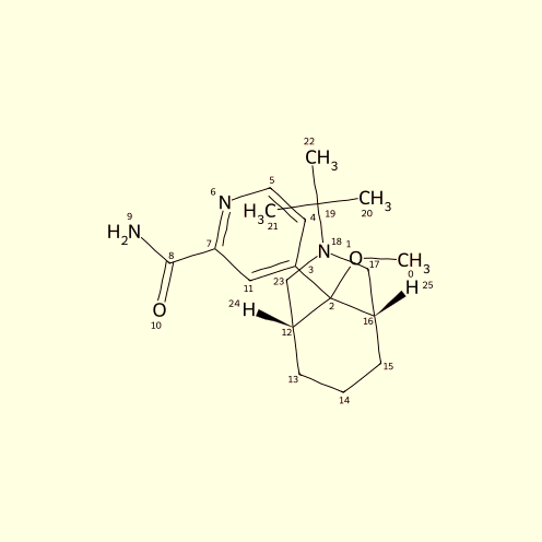 COC1(c2ccnc(C(N)=O)c2)[C@@H]2CCC[C@H]1CN(C(C)(C)C)C2